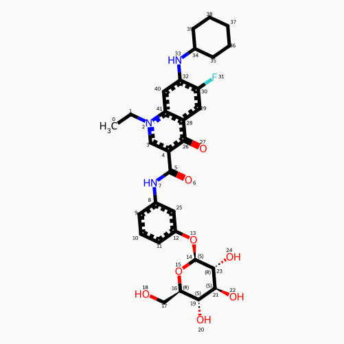 CCn1cc(C(=O)Nc2cccc(O[C@@H]3O[C@H](CO)[C@@H](O)[C@H](O)[C@H]3O)c2)c(=O)c2cc(F)c(NC3CCCCC3)cc21